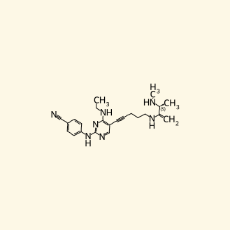 C=C(NCCCC#Cc1cnc(Nc2ccc(C#N)cc2)nc1NCC)[C@H](C)NC